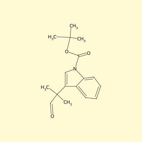 CC(C)(C)OC(=O)n1cc(C(C)(C)C=O)c2ccccc21